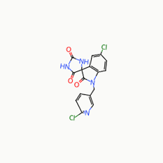 O=C1NC(=O)C2(N1)C(=O)N(Cc1ccc(Cl)nc1)c1ccc(Cl)cc12